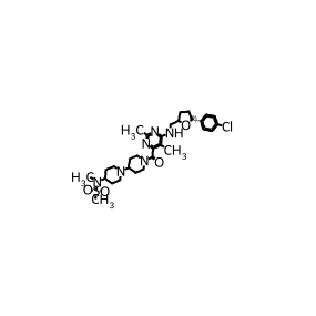 Cc1nc(NCC2CC[C@H](c3ccc(Cl)cc3)O2)c(C)c(C(=O)N2CCC(N3CCC(N(C)S(C)(=O)=O)CC3)CC2)n1